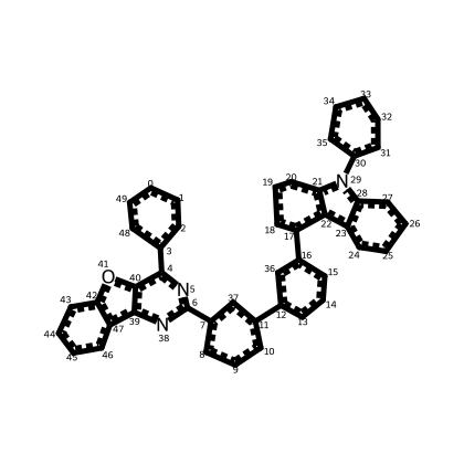 c1ccc(-c2nc(-c3cccc(-c4cccc(-c5cccc6c5c5ccccc5n6-c5ccccc5)c4)c3)nc3c2oc2ccccc23)cc1